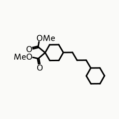 COC(=O)C1(C(=O)OC)CCC(CCCC2CCCCC2)CC1